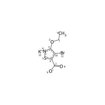 CCOc1nsc(C(=O)[O-])c1Br.[K+]